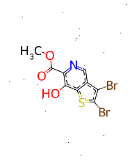 COC(=O)c1ncc2c(Br)c(Br)sc2c1O